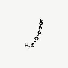 C=CCCC[C@H]1CC[C@H](CC[C@H]2CC[C@H]([C@H]3CC[C@H](c4ccc(F)cc4)CC3)CC2)CC1